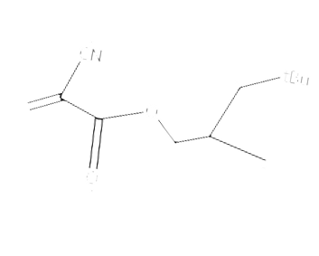 C=C(C#N)C(=O)OCC(C)CC(C)(C)C